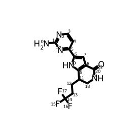 Nc1nccc(-c2cc3c([nH]2)C(CCC(F)(F)F)CNC3=O)n1